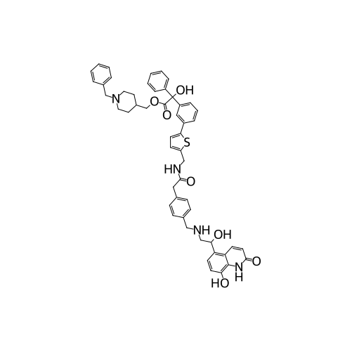 O=C(Cc1ccc(CNCC(O)c2ccc(O)c3[nH]c(=O)ccc23)cc1)NCc1ccc(-c2cccc(C(O)(C(=O)OCC3CCN(Cc4ccccc4)CC3)c3ccccc3)c2)s1